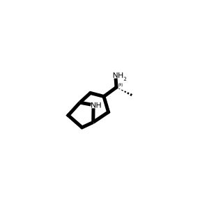 C[C@@H](N)C1CC2CCC(C1)N2